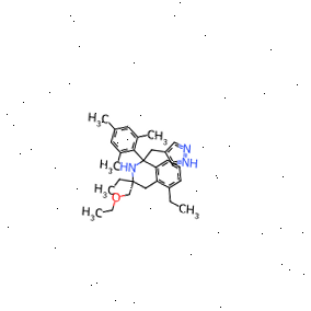 CCOCC1(CC)Cc2c(CC)cccc2C(Cc2cn[nH]c2)(c2c(C)cc(C)cc2C)N1